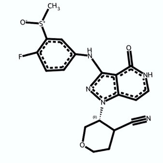 C[S+]([O-])c1cc(Nc2nn([C@H]3COCCC3C#N)c3cc[nH]c(=O)c23)ccc1F